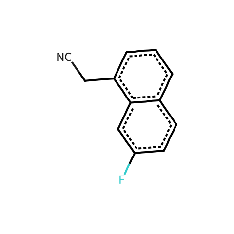 N#CCc1cccc2ccc(F)cc12